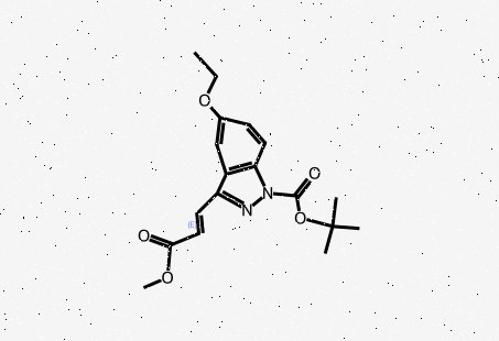 CCOc1ccc2c(c1)c(/C=C/C(=O)OC)nn2C(=O)OC(C)(C)C